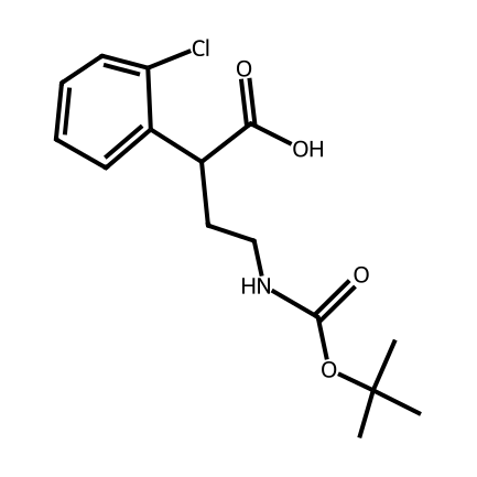 CC(C)(C)OC(=O)NCCC(C(=O)O)c1ccccc1Cl